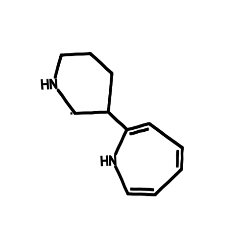 [CH]1NCCCC1C1=CC=CC=CN1